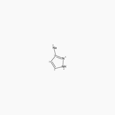 [Na][c]1cc[nH]n1